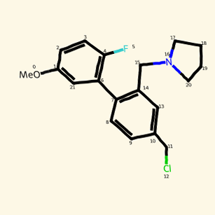 COc1ccc(F)c(-c2ccc(CCl)cc2CN2CCCC2)c1